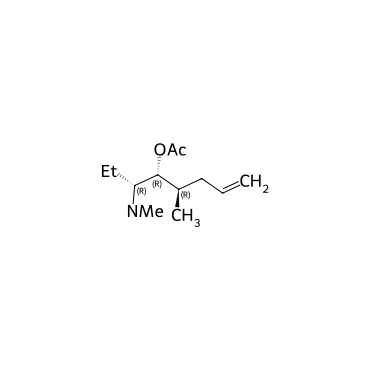 C=CC[C@@H](C)[C@@H](OC(C)=O)[C@@H](CC)NC